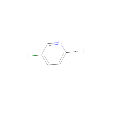 Cc1ccc(F)[c]n1